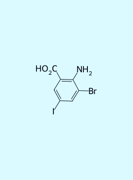 Nc1c(Br)cc(I)cc1C(=O)O